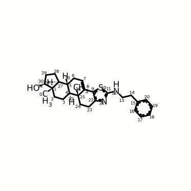 C[C@]12CC[C@H]3[C@@H](CC=C4c5sc(NCCc6ccccc6)nc5CC[C@@]43C)[C@@H]1CC[C@@H]2O